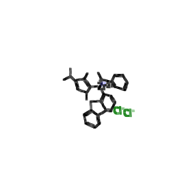 CC1=[C](/[Zr+2](=[C](\C)c2ccccc2)[c]2cccc3c2Cc2ccccc2-3)C(C)C=C1C(C)C.[Cl-].[Cl-]